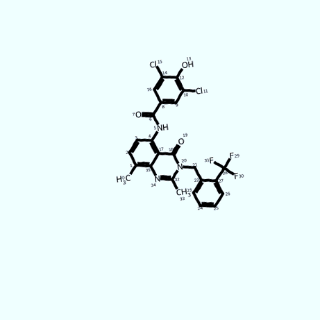 Cc1ccc(NC(=O)c2cc(Cl)c(O)c(Cl)c2)c2c(=O)n(Cc3ccccc3C(F)(F)F)c(C)nc12